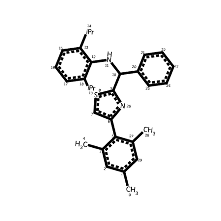 Cc1cc(C)c(-c2csc(C(Nc3c(C(C)C)cccc3C(C)C)c3ccccc3)n2)c(C)c1